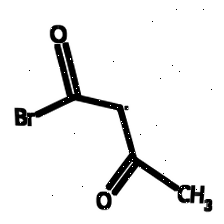 CC(=O)[CH]C(=O)Br